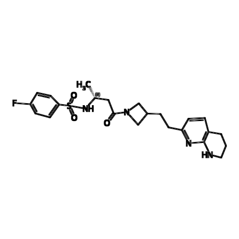 C[C@H](CC(=O)N1CC(CCc2ccc3c(n2)NCCC3)C1)NS(=O)(=O)c1ccc(F)cc1